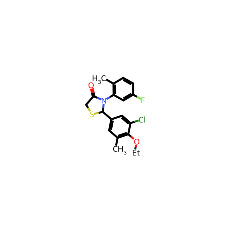 CCOc1c(C)cc(C2SCC(=O)N2c2cc(F)ccc2C)cc1Cl